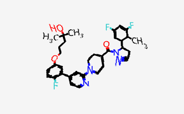 CC1C(F)=CC(F)=CC1C1CC=NN1C(=O)C1CCN(c2cc(-c3cc(OCCCC(C)(C)O)ccc3F)ccn2)CC1